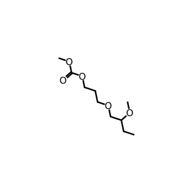 CCC(COCCCOC(=O)OC)OC